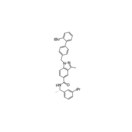 Cc1nn(Cc2ccc(-c3ccccc3C(C)(C)C)cc2)c2ccc(C(=O)N[C@@H](C)c3cccc(C(C)C)c3)cc12